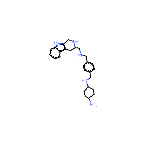 NC1CCC(NCc2ccc(CNCC3Cc4c([nH]c5ccccc45)CN3)cc2)CC1